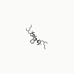 CCCCC(CC)Cc1cc(-c2sc(-c3cc(CC(CC)CCCC)c(C)s3)c3ccccc23)sc1C